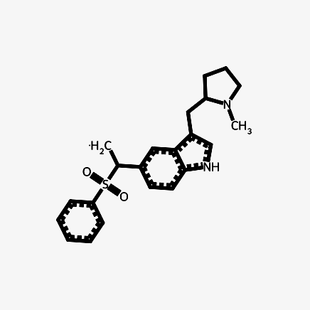 [CH2]C(c1ccc2[nH]cc(CC3CCCN3C)c2c1)S(=O)(=O)c1ccccc1